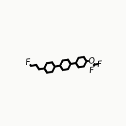 FCCCC1CCC(C2CCC(C3CCC(OC(F)F)CC3)CC2)CC1